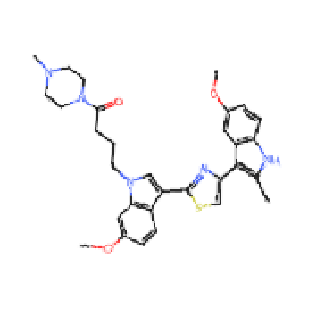 COc1ccc2[nH]c(C)c(-c3csc(-c4cn(CCCC(=O)N5CCN(C)CC5)c5cc(OC)ccc45)n3)c2c1